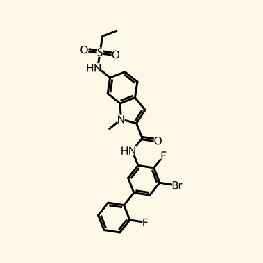 CCS(=O)(=O)Nc1ccc2cc(C(=O)Nc3cc(-c4ccccc4F)cc(Br)c3F)n(C)c2c1